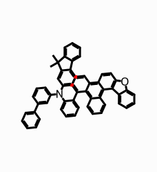 CC1(C)c2ccccc2-c2ccc(N(c3cccc(-c4ccccc4)c3)c3ccccc3-c3cccc4c5ccc6oc7ccccc7c6c5c5ccccc5c34)cc21